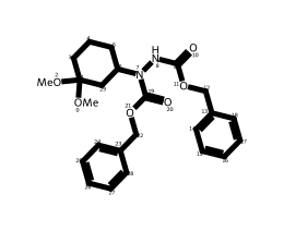 COC1(OC)CCCC(N(NC(=O)OCc2ccccc2)C(=O)OCc2ccccc2)C1